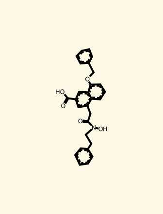 O=C(O)c1cc(CC(=O)N(O)CCc2ccccc2)c2cccc(OCc3ccccc3)c2c1